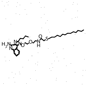 CCCCCCCCCCCCCCSCC(=O)NCCOCCOn1c(CCCC)nc2c(N)nc3ccccc3c21